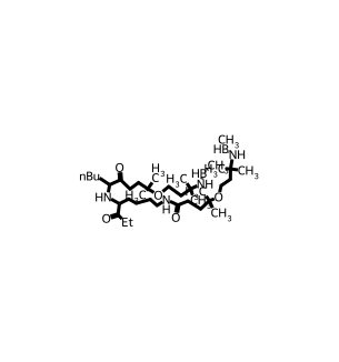 CBNC(C)(C)CCOC(C)(C)CCC(=O)NCCCCC(NC(CCCC)C(=O)CCC(C)(C)OCCC(C)(C)NBC)C(=O)CC